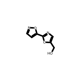 OCc1cnc(-c2ccno2)o1